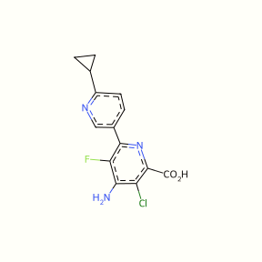 Nc1c(F)c(-c2ccc(C3CC3)nc2)nc(C(=O)O)c1Cl